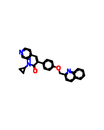 O=C(NC1CC1)C(=Cc1ccncc1)c1ccc(OCc2ccc3ccccc3n2)cc1